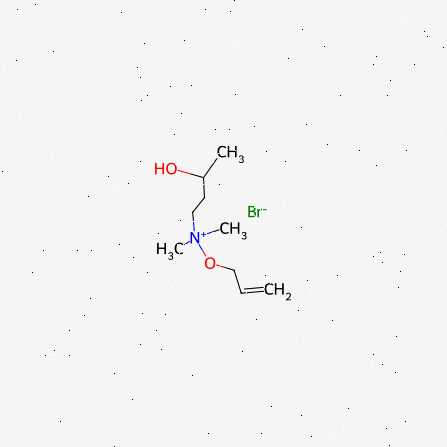 C=CCO[N+](C)(C)CCC(C)O.[Br-]